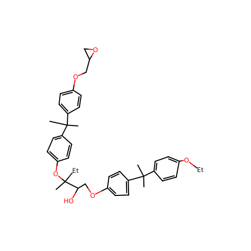 CCOc1ccc(C(C)(C)c2ccc(OCC(O)C(C)(CC)Oc3ccc(C(C)(C)c4ccc(OCC5CO5)cc4)cc3)cc2)cc1